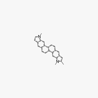 Cc1cc2cc3ccc4c5cc6c(ccn6C)cc5ccc4c3cc2n1C